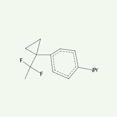 CC(C)c1ccc(C2(C(C)(F)F)CC2)cc1